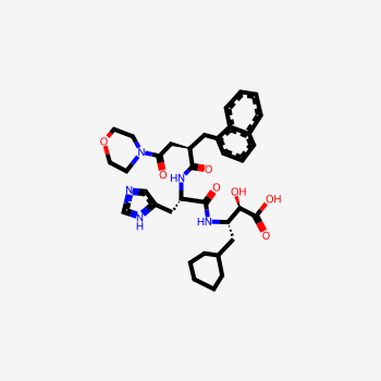 O=C(N[C@@H](Cc1cnc[nH]1)C(=O)N[C@@H](CC1CCCCC1)[C@@H](O)C(=O)O)[C@@H](CC(=O)N1CCOCC1)Cc1cccc2ccccc12